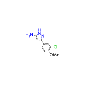 COc1ccc(-c2cc(N)[nH]n2)cc1Cl